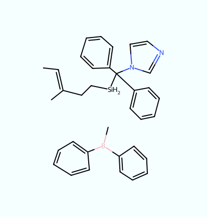 CB(c1ccccc1)c1ccccc1.CC=C(C)CC[SiH2]C(c1ccccc1)(c1ccccc1)n1ccnc1